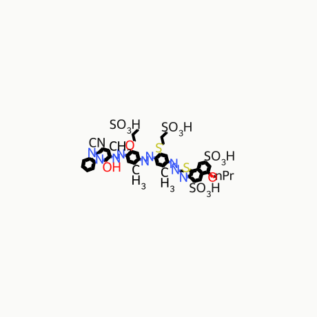 CCCOc1cc(S(=O)(=O)O)cc2c1cc(S(=O)(=O)O)c1nc(N=Nc3cc(SCCCS(=O)(=O)O)c(N=Nc4cc(OCCCS(=O)(=O)O)c(N=Nc5c(C)c(C#N)c6nc7ccccc7n6c5O)cc4C)cc3C)sc12